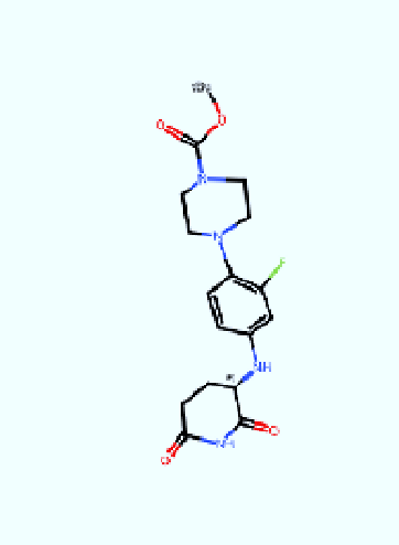 CC(C)(C)OC(=O)N1CCN(c2ccc(N[C@@H]3CCC(=O)NC3=O)cc2F)CC1